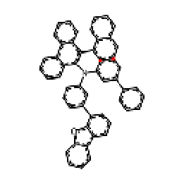 c1ccc(-c2cccc(N(c3cccc(-c4cccc5c4oc4ccccc45)c3)c3c(-c4cccc5ccccc45)c4ccccc4c4ccccc34)c2)cc1